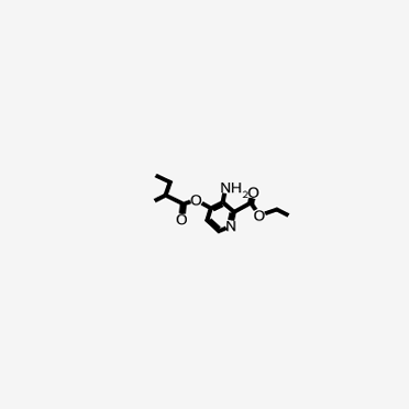 CCOC(=O)c1nccc(OC(=O)C(C)CC)c1N